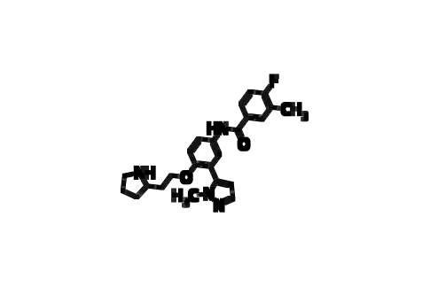 Cc1cc(C(=O)Nc2ccc(OCCC3CCCN3)c(-c3ccnn3C)c2)ccc1F